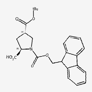 CC(C)(C)OC(=O)[C@H]1C[C@H](C(=O)O)N(C(=O)OCC2c3ccccc3-c3ccccc32)C1